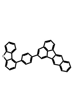 c1ccc2cc3c(cc2c1)-c1cccc2cc(-c4ccc(-c5cccc6oc7ccccc7c56)cc4)cc-3c12